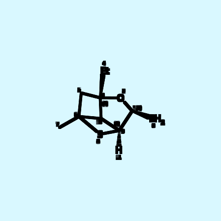 B[C@@H]1O[C@@]2(CC)CC3(C)S[C@H]1C32